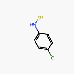 SNc1ccc(Cl)cc1